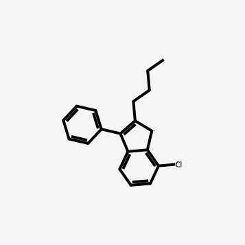 CCCCC1=C(c2ccccc2)c2cccc(Cl)c2[CH]1